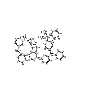 CC1(C)c2cccc(c2)Nc2ccccc2-c2ccc(-c3cccc(N(c4ccccc4)c4ccc5c(c4)-c4ccccc4C5(C)C)c3)c3ccc1cc23